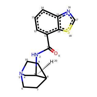 O=C(N[C@@H]1CN2CCC1CC2)c1cccc2ncsc12